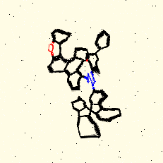 c1ccc(-c2ccc(N(c3ccc4c(c3)C3(c5ccccc5-c5ccccc53)c3ccccc3-4)c3cccc4c5ccc6oc7ccccc7c6c5c5ccccc5c34)cc2)cc1